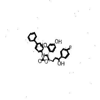 O=C1O[C@H](CCC(O)c2ccc(F)cc2)[C@@H](c2ccc(O)cc2O)N1c1ccc(-c2ccccc2)cc1